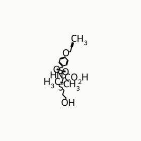 CC#CCOc1ccc(S(=O)(=O)N[C@@H](C(=O)O)C(C)(C)SCCCO)cc1